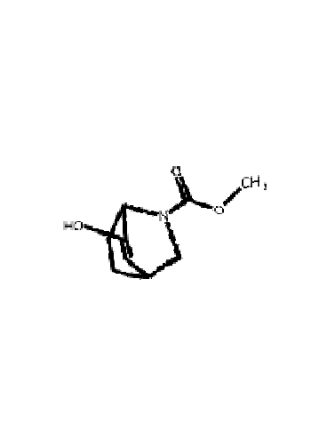 COC(=O)N1CC2C=C(O)C1CC2